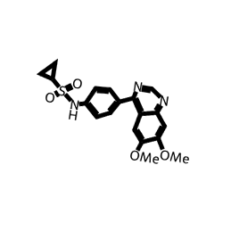 COc1cc2ncnc(-c3ccc(NS(=O)(=O)C4CC4)cc3)c2cc1OC